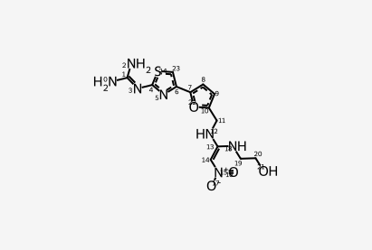 NC(N)=Nc1nc(-c2ccc(CNC(=C[N+](=O)[O-])NCCO)o2)cs1